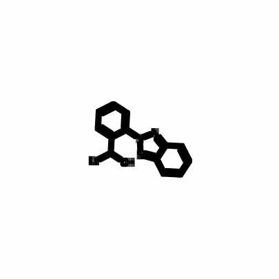 CCC(O)c1ccccc1-n1nc2ccccc2n1